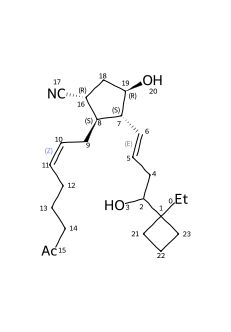 CCC1(C(O)C/C=C/[C@@H]2[C@@H](C/C=C\CCCC(C)=O)[C@H](C#N)C[C@H]2O)CCC1